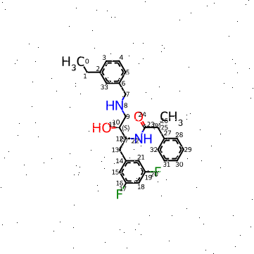 CCc1cccc(CNC[C@H](O)[C@H](Cc2cc(F)cc(F)c2)NC(=O)[C@H](C)c2ccccc2)c1